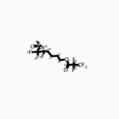 CS(=O)(=O)C(F)(F)C(F)(F)CCCCOC(=O)C(F)(F)C(F)(F)F